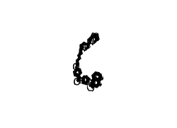 O=C(c1ccc(OCCCCCCN2CCC(N3CCCCC3)CC2)cc1)N1CCC(N2C(=O)CCc3ccccc32)CC1